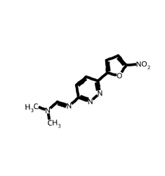 CN(C)C=Nc1ccc(-c2ccc([N+](=O)[O-])o2)nn1